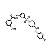 COc1cccc(C(=O)NCc2ccc(S(=O)(=O)N3CCC(NCc4ccc(Cl)cc4)CC3)s2)c1